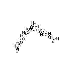 O.O.O.O.O.O.O.O.O.O.O.O.[Al].[NaH]